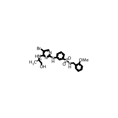 COc1ccccc1CNS(=O)(=O)c1cccc(Nc2ncc(Br)c(N[C@H](C)CO)n2)c1